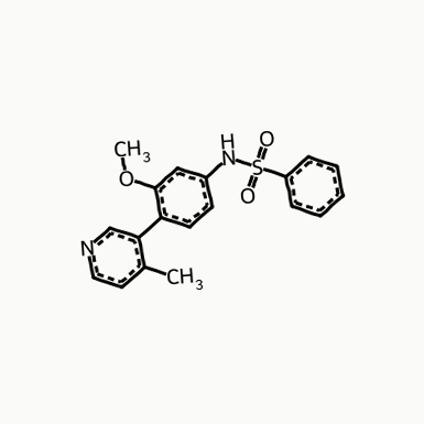 COc1cc(NS(=O)(=O)c2ccccc2)ccc1-c1cnccc1C